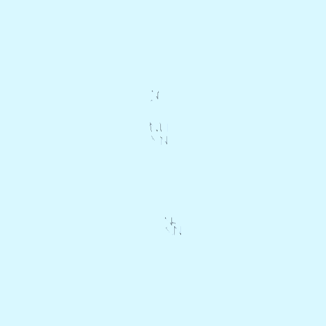 CN(/C=C\NCCCC#N)CCCCCCCCCCCCn1ccnc1